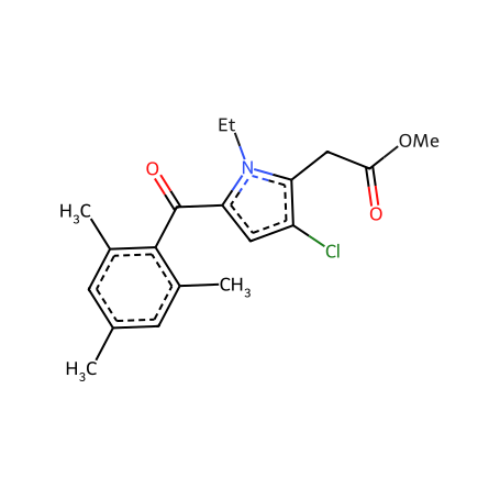 CCn1c(C(=O)c2c(C)cc(C)cc2C)cc(Cl)c1CC(=O)OC